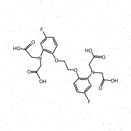 O=C(O)CN(CC(=O)O)c1cc(F)ccc1OCCOc1ccc(F)cc1N(CC(=O)O)CC(=O)O